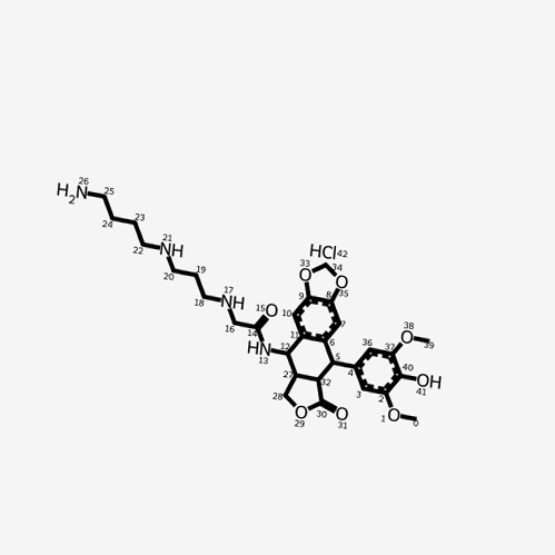 COc1cc(C2c3cc4c(cc3C(NC(=O)CNCCCNCCCCN)C3COC(=O)C23)OCO4)cc(OC)c1O.Cl